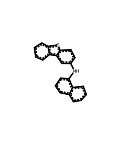 c1ccc2c(Nc3ccc4sc5ccccc5c4c3)cccc2c1